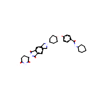 O=C1CC[C@H](N2C(=O)c3cc4c(cc3C2=O)CN([C@H]2CC[C@H](Oc3ccc(C(=O)NC5CCCCC5)cc3)CC2)C4)C(=O)N1